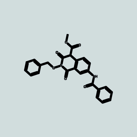 COC(=O)C1C(=O)N(OCc2ccccc2)C(=O)c2cc(NC(=O)c3ccccc3)ccc21